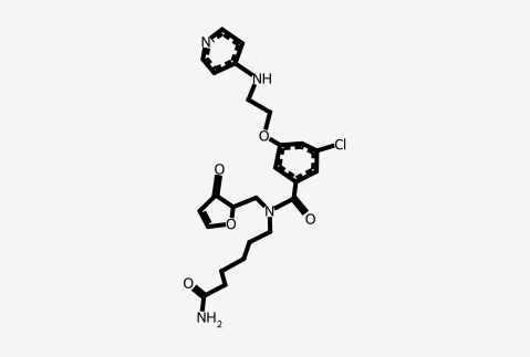 NC(=O)CCCCCN(CC1OC=CC1=O)C(=O)c1cc(Cl)cc(OCCNc2ccncc2)c1